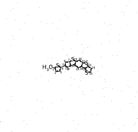 Cc1ccc(-c2cc3sc4cc5sc6ccsc6c5cc4c3s2)s1